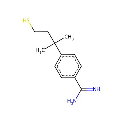 CC(C)(CCS)c1ccc(C(=N)N)cc1